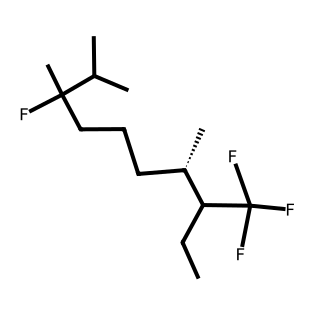 CCC([C@@H](C)CCCC(C)(F)C(C)C)C(F)(F)F